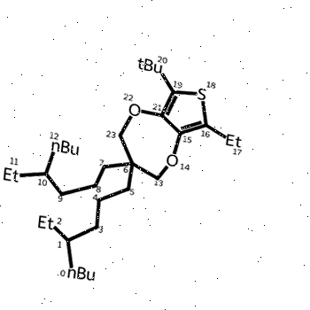 CCCCC(CC)CCCC1(CCCC(CC)CCCC)COc2c(CC)sc(C(C)(C)C)c2OC1